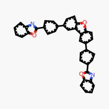 c1ccc2oc(-c3ccc(-c4ccc5oc6ccc(-c7ccc(-c8nc9ccccc9o8)cc7)cc6c5c4)cc3)nc2c1